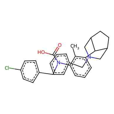 Cc1c(C2C3CCC2CN(Cc2ccccc2)C3)cccc1N(Cc1ccc(Cl)cc1)C(=O)O